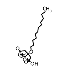 CCCCCCCCCCCCCOC(CC(=O)O)(CC(=O)O)C(=O)O